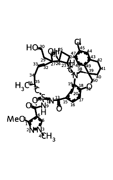 COc1nn(C)cc1C(=O)N[S@@]1(=O)=NC(=O)c2ccc3c(c2)N(C[C@@H]2CC[C@H]2C(O)(CCO)/C=C/C[C@H](C)C1)C[C@@]1(CCCc2cc(Cl)ccc21)CO3